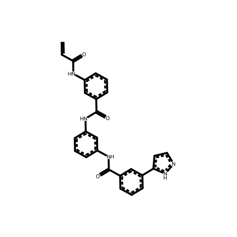 C=CC(=O)Nc1cccc(C(=O)Nc2cccc(NC(=O)c3cccc(-c4ccn[nH]4)c3)c2)c1